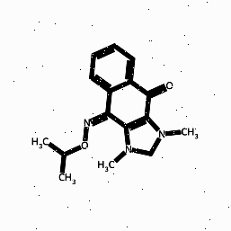 CC(C)O/N=C1\C2=C(C(=O)c3ccccc31)N(C)CN2C